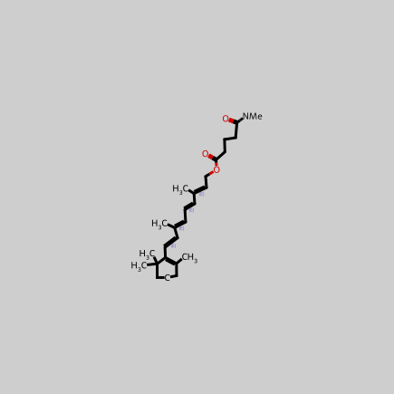 CNC(=O)CCCC(=O)OC/C=C(C)/C=C/C=C(C)/C=C/C1=C(C)CCCC1(C)C